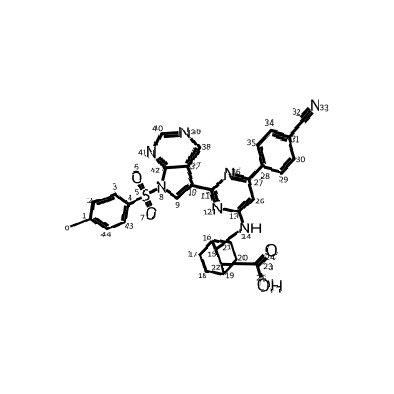 Cc1ccc(S(=O)(=O)n2cc(-c3nc(NC4C5CCC(CC5)C4C(=O)O)cc(-c4ccc(C#N)cc4)n3)c3cncnc32)cc1